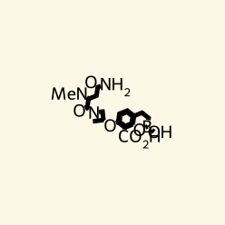 CNC(CC(N)=O)C(=O)N1CC(Oc2ccc3c(c2C(=O)O)OB(O)CC3)C1